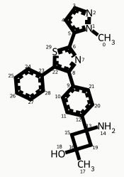 Cn1nccc1-c1nc(-c2ccc(C3(N)CC(C)(O)C3)cc2)c(-c2ccccc2)s1